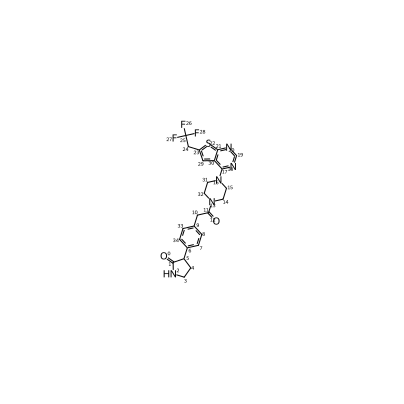 O=C1NCCC1c1ccc(CC(=O)N2CCN(c3ncnc4sc(CC(F)(F)F)cc34)CC2)cc1